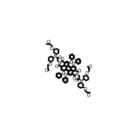 O=C1c2cc(Oc3ccccc3)c3c4c(Oc5ccccc5)cc5c6c(cc(Oc7ccccc7)c(c7c(Oc8ccccc8)cc(c2c37)C(=O)N1CC(=O)N(C1CCCC(OCC2CO2)C1)C1CCCC(OCC2CO2)C1)c64)C(=O)N(CC(=O)N(C1CCCC(OCC2CO2)C1)C1CCCC(OCC2CO2)C1)C5=O